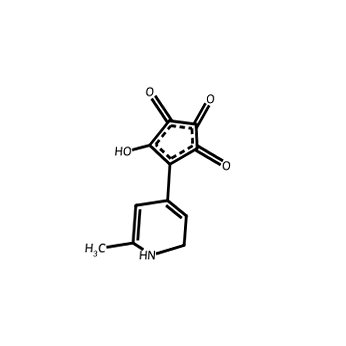 CC1=CC(c2c(O)c(=O)c(=O)c2=O)=CCN1